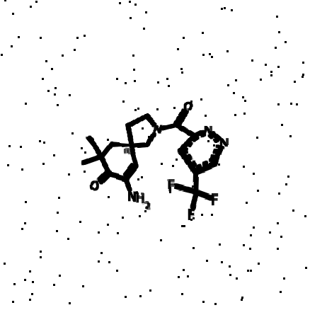 CC1(C)C[C@@]2(C=C(N)C1=O)CCN(C(=O)c1cc(C(F)(F)F)cnn1)C2